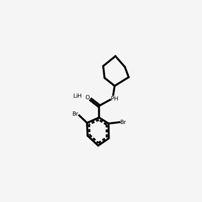 O=C(P[C]1CCCCC1)c1c(Br)cccc1Br.[LiH]